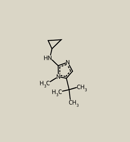 Cn1c(C(C)(C)C)cnc1NC1CC1